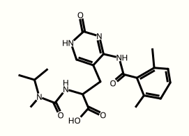 Cc1cccc(C)c1C(=O)Nc1nc(=O)[nH]cc1CC(NC(=O)N(C)C(C)C)C(=O)O